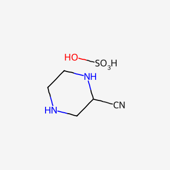 N#CC1CNCCN1.O=S(=O)(O)O